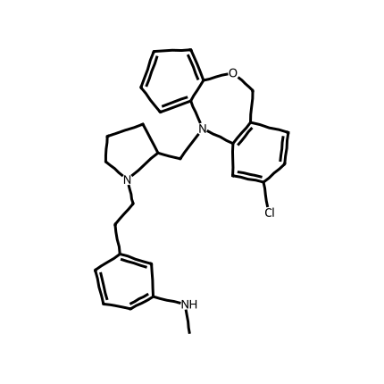 CNc1cccc(CCN2CCCC2CN2c3cc(Cl)ccc3COc3ccccc32)c1